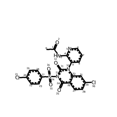 CC(=O)Nc1ncccc1-n1c(=O)n(S(=O)(=O)c2ccc(Cl)cc2)c(=O)c2ccc(Cl)cc21